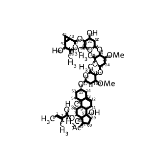 C/C=C(\C)C(=O)O[C@@H]1CC2C(CC=C3C[C@@H](OC4CC(OC)C(OC5CC(OC)C(OC6CC(O)C(OC7OC(C)C(O)C8CC78)C(C)O6)C(C)O5)C(C)O4)CC[C@@]32C)[C@@]2(O)CCC(C(C)=O)[C@@]12C